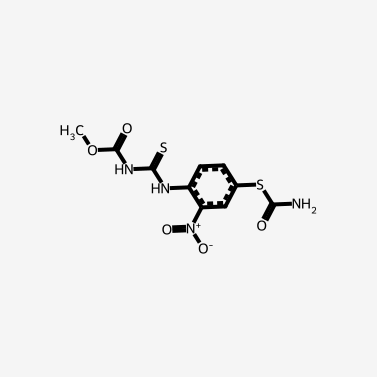 COC(=O)NC(=S)Nc1ccc(SC(N)=O)cc1[N+](=O)[O-]